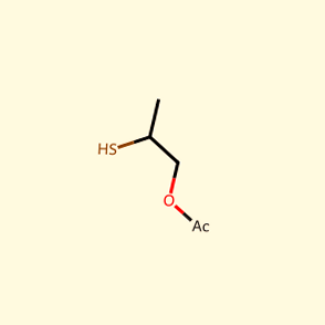 CC(=O)OCC(C)S